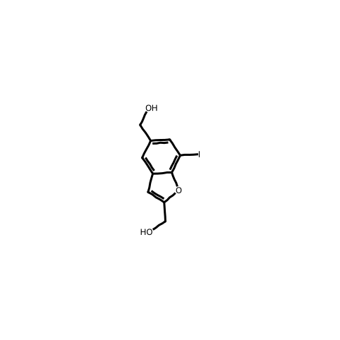 OCc1cc(I)c2oc(CO)cc2c1